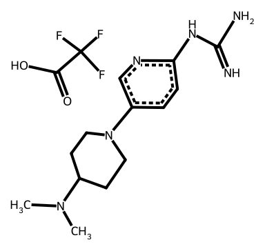 CN(C)C1CCN(c2ccc(NC(=N)N)nc2)CC1.O=C(O)C(F)(F)F